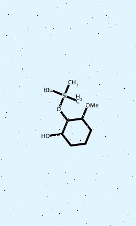 COC1CCCC(O)C1O[Si](C)(C)C(C)(C)C